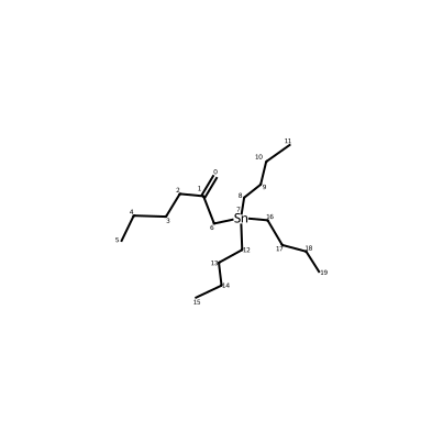 C=C(CCCC)[CH2][Sn]([CH2]CCC)([CH2]CCC)[CH2]CCC